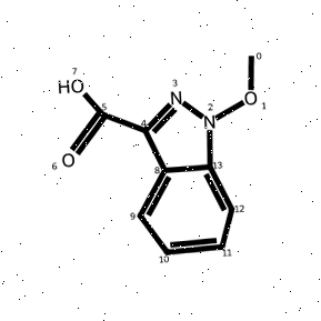 COn1nc(C(=O)O)c2ccccc21